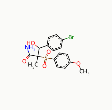 COc1ccc(S(=O)(=O)C(C)(C(N)=O)C(O)c2ccc(Br)cc2)cc1